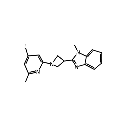 Cc1cc(I)cc(N2CC(c3nc4ccccc4n3C)C2)n1